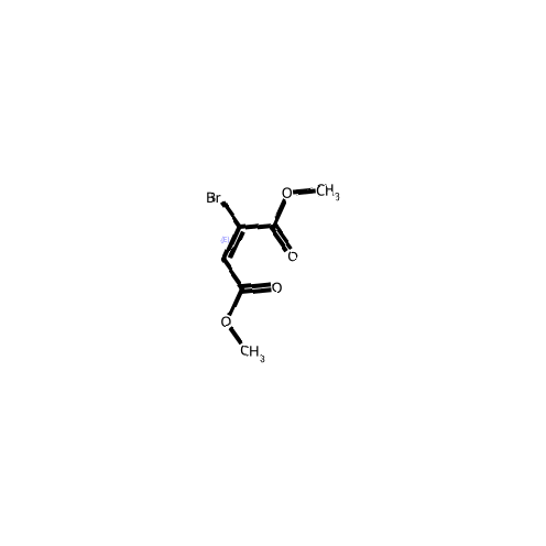 COC(=O)/C=C(/Br)C(=O)OC